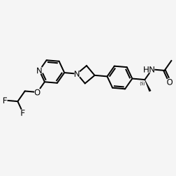 CC(=O)N[C@@H](C)c1ccc(C2CN(c3ccnc(OCC(F)F)c3)C2)cc1